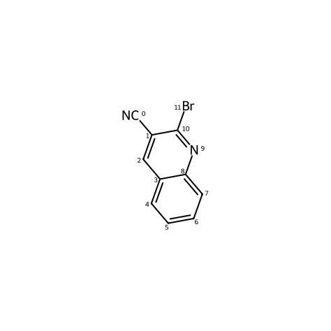 N#Cc1cc2ccccc2nc1Br